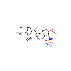 CCOc1ccc2c(C(=O)c3cc(OC)c(OC)c(OC)c3)cncc2c1NS(N)(=O)=O